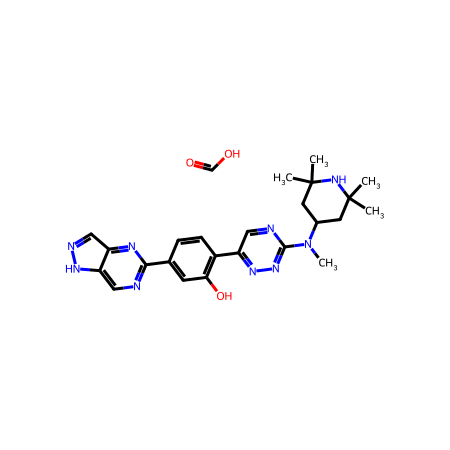 CN(c1ncc(-c2ccc(-c3ncc4[nH]ncc4n3)cc2O)nn1)C1CC(C)(C)NC(C)(C)C1.O=CO